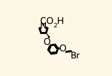 O=C(O)N1CC[C@H](COc2cccc(OCCBr)c2)C1